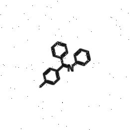 Cc1ccc(/C(=N/c2ccccc2)c2ccccc2)cc1